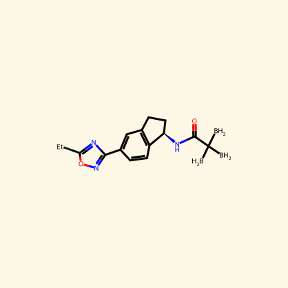 BC(B)(B)C(=O)N[C@@H]1CCc2cc(-c3noc(CC)n3)ccc21